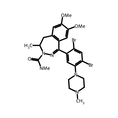 CNC(=O)N1N=C(c2cc(N3CCN(C)CC3)c(Br)cc2Br)c2cc(OC)c(OC)cc2CC1C